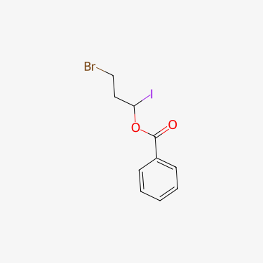 O=C(OC(I)CCBr)c1ccccc1